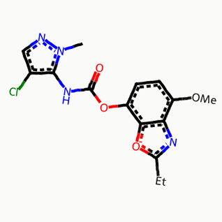 CCc1nc2c(OC)ccc(OC(=O)Nc3c(Cl)cnn3C)c2o1